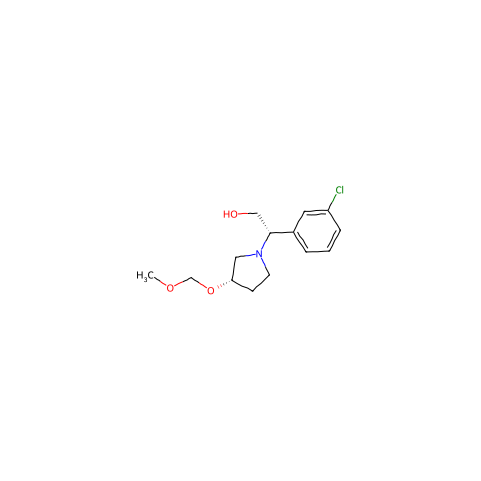 COCO[C@H]1CCN([C@H](CO)c2cccc(Cl)c2)C1